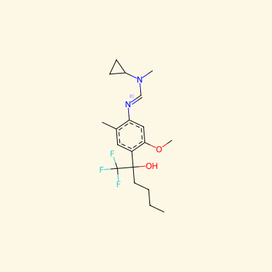 CCCCC(O)(c1cc(C)c(/N=C/N(C)C2CC2)cc1OC)C(F)(F)F